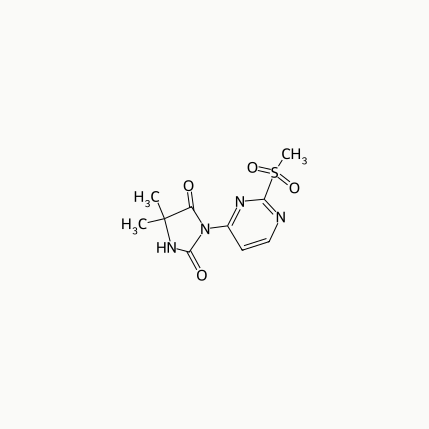 CC1(C)NC(=O)N(c2ccnc(S(C)(=O)=O)n2)C1=O